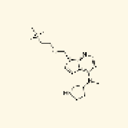 CN(c1ncnc2c1ccn2COCC[Si](C)(C)C)C1CCNC1